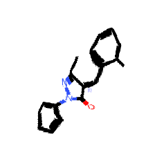 CC1=NN(c2ccccc2)C(=O)/C1=C/c1ccccc1C